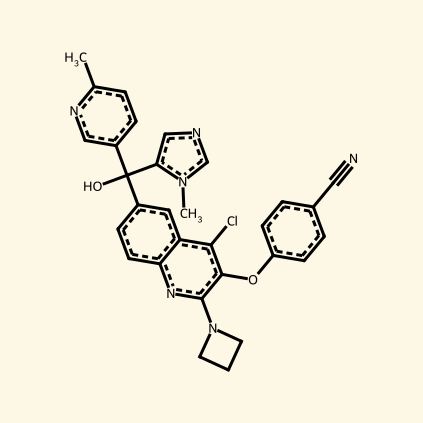 Cc1ccc(C(O)(c2ccc3nc(N4CCC4)c(Oc4ccc(C#N)cc4)c(Cl)c3c2)c2cncn2C)cn1